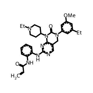 C=CC(=O)Nc1ccccc1Nc1ncc2c(n1)N(C1CCN(CC)CC1)C(=O)N(c1cc(CC)cc(OC)c1)C2